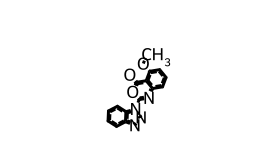 COc1cccc2nc(-n3nnc4ccccc43)oc(=O)c12